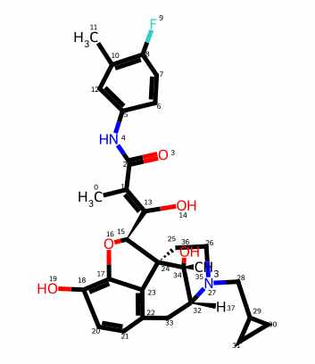 C/C(C(=O)Nc1ccc(F)c(C)c1)=C(/O)[C@@H]1Oc2c(O)ccc3c2[C@@]12CCN(CC1CC1)[C@H](C3)[C@@]2(C)O